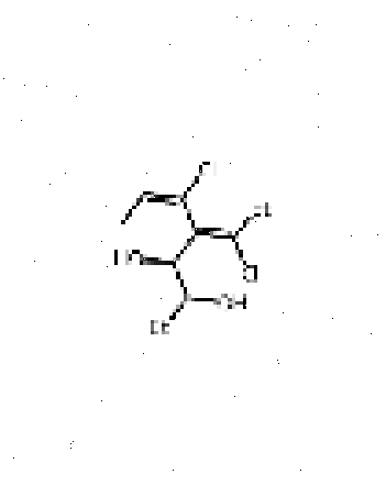 C/C=C(Cl)\C(=C(\Cl)CC)[C@H](O)[C@@H](O)CC